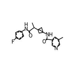 Cc1cncc(C(=O)NC23CC(C(C)C(=O)Nc4ccc(F)cc4)(C2)C3)c1